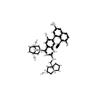 C#Cc1c(F)ccc2cc(O)cc(-c3cc4nc(OC[C@@]56CCCN5C[C@H](F)C6)nc(N5C[C@H]6CC[C@@H](C5)N6)c4cc3F)c12